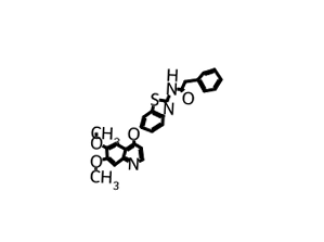 COc1cc2nccc(Oc3ccc4nc(NC(=O)Cc5ccccc5)sc4c3)c2cc1OC